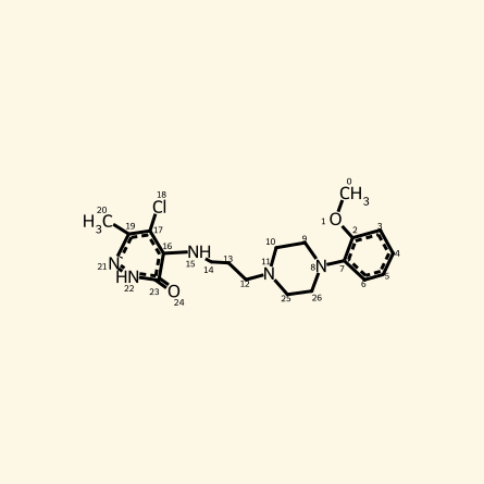 COc1ccccc1N1CCN(CCCNc2c(Cl)c(C)n[nH]c2=O)CC1